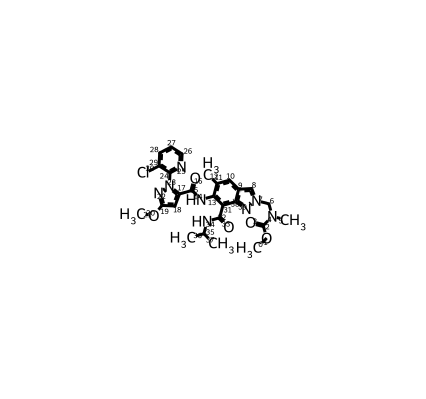 COC(=O)N(C)Cn1cc2cc(C)c(NC(=O)c3cc(OC)nn3-c3ncccc3Cl)c(C(=O)NC(C)C)c2n1